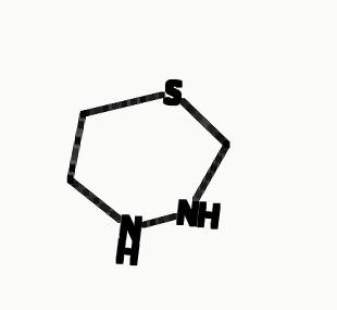 C1CSCNN1